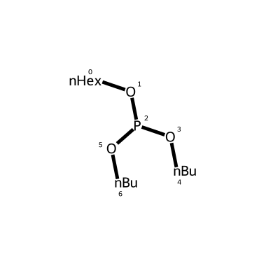 CCCCCCOP(OCCCC)OCCCC